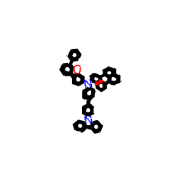 c1ccc(-c2cccc3c2oc2cc(N(c4ccc(-c5ccc(-n6c7ccccc7c7ccccc76)cc5)cc4)c4ccc(-c5cccc6cccc(-c7ccccc7)c56)cc4)ccc23)cc1